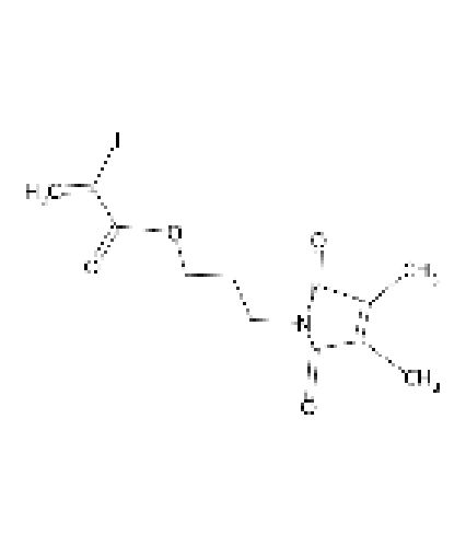 C=C(I)C(=O)OCCCN1C(=O)C(C)=C(C)C1=O